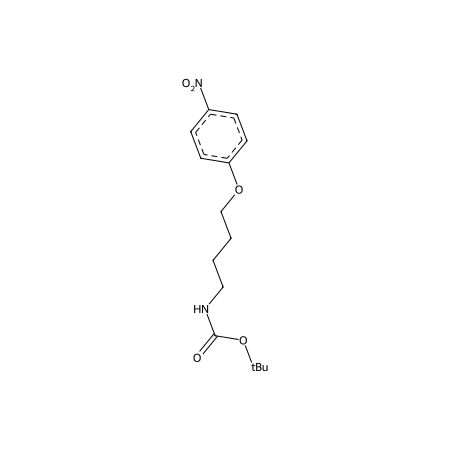 CC(C)(C)OC(=O)NCCCCOc1ccc([N+](=O)[O-])cc1